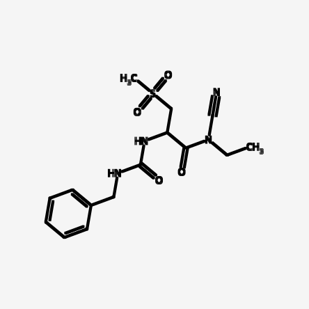 CCN(C#N)C(=O)C(CS(C)(=O)=O)NC(=O)NCc1ccccc1